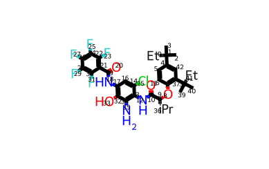 CCC(C)(C)c1ccc(OC(C(=O)Nc2c(Cl)cc(NC(=O)c3c(F)c(F)c(F)c(F)c3F)c(O)c2N)C(C)C)c(C(C)(C)CC)c1